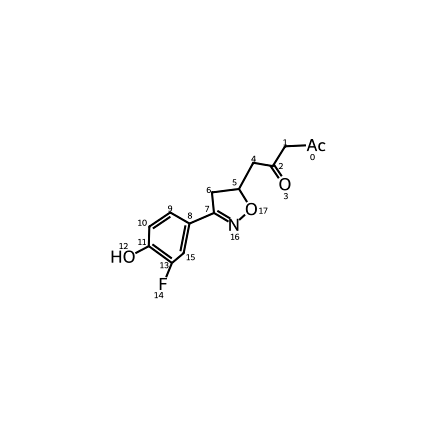 CC(=O)CC(=O)CC1CC(c2ccc(O)c(F)c2)=NO1